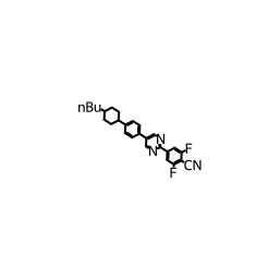 CCCCC1CCC(c2ccc(-c3cnc(-c4cc(F)c(C#N)c(F)c4)nc3)cc2)CC1